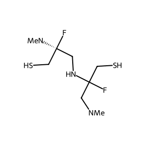 CNCC(F)(CS)NC[C@](F)(CS)NC